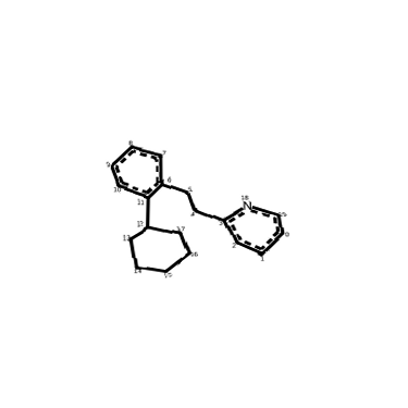 c1ccc(CCc2ccccc2C2CCCCC2)nc1